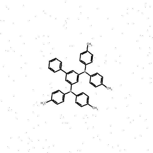 Cc1ccc(N(c2ccc(C)cc2)c2cc(-c3ccccc3)cc(N(c3ccc(C)cc3)c3ccc(C)cc3)c2)cc1